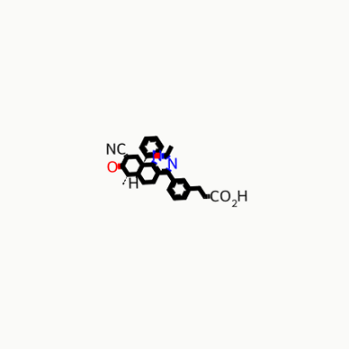 Cc1nc(-c2cccc(CCC(=O)O)c2)c2c(n1)[C@]1(c3ccccc3)CC(C#N)C(=O)[C@@H](C)[C@@H]1CC2